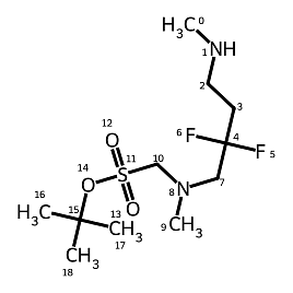 CNCCC(F)(F)CN(C)CS(=O)(=O)OC(C)(C)C